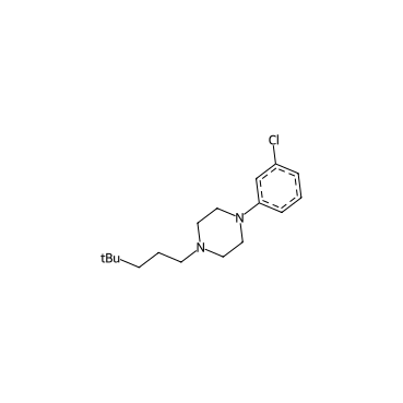 CC(C)(C)CCCN1CCN(c2cccc(Cl)c2)CC1